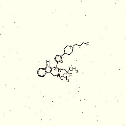 C[C@@H]1Cc2c([nH]c3ccccc23)[C@@H](c2ccc(C3CCN(CCCF)CC3)s2)N1CC(C)(C)F